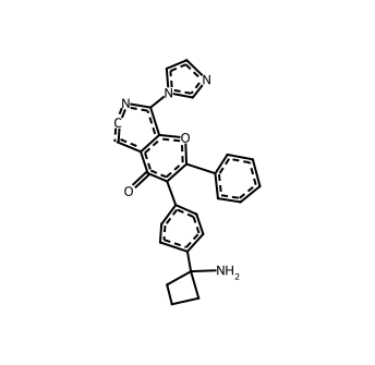 NC1(c2ccc(-c3c(-c4ccccc4)oc4c(-n5ccnc5)nccc4c3=O)cc2)CCC1